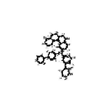 c1ccc(-c2ccc(N(c3ccc4ccc5ccc6ccccc6c5c4c3)c3cc4c(cn3)oc3ccccc34)cc2)cc1